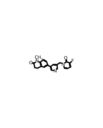 CN1C(=O)CCc2cc(-c3cncc(Cn4cccc(F)c4=O)c3)ccc21